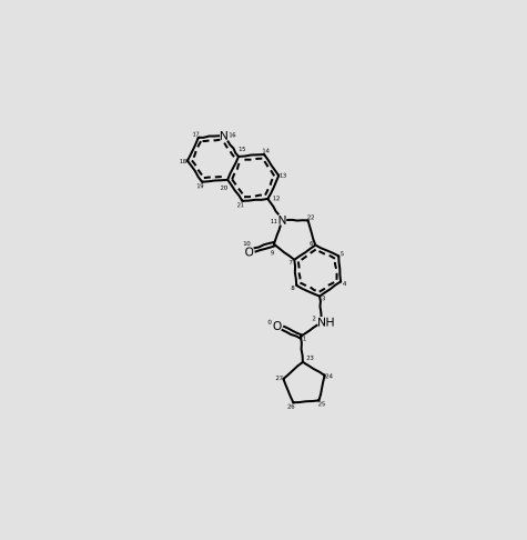 O=C(Nc1ccc2c(c1)C(=O)N(c1ccc3ncccc3c1)C2)C1CCCC1